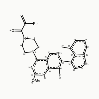 C=C(F)C(=O)N1CCN(c2nc(OC)nc3c(F)c(-c4cccc5cccc(C)c45)ncc23)CC1